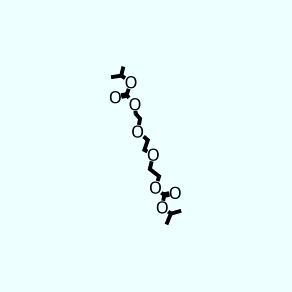 CC(C)OC(=O)OCCOCCOCCOC(=O)OC(C)C